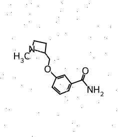 CN1CCC1COc1cccc(C(N)=O)c1